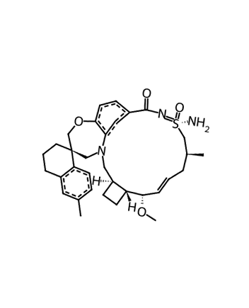 CO[C@H]1/C=C/C[C@H](C)C[S@](N)(=O)=NC(=O)c2ccc3c(c2)N(C[C@@H]2CC[C@H]21)C[C@@]1(CCCc2cc(C)ccc21)CO3